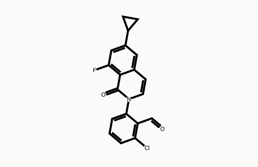 O=Cc1c(Cl)cccc1-n1ccc2cc(C3CC3)cc(F)c2c1=O